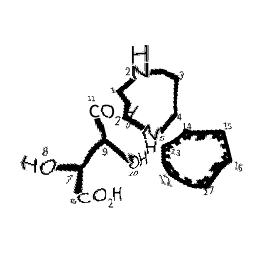 C1CNCCN1.O=C(O)C(O)C(O)C(=O)O.c1ccccc1